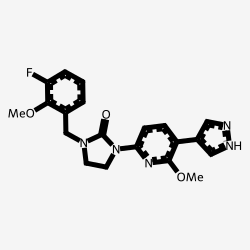 COc1nc(N2CCN(Cc3cccc(F)c3OC)C2=O)ccc1-c1cn[nH]c1